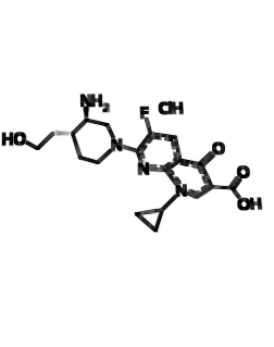 Cl.N[C@H]1CN(c2nc3c(cc2F)c(=O)c(C(=O)O)cn3C2CC2)CC[C@@H]1CCO